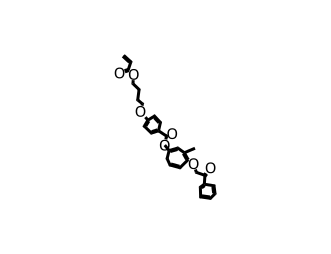 C=CC(=O)OCCCCOc1ccc(C(=O)OC2=CC(C)=C(OCC(=O)c3ccccc3)C=CC2)cc1